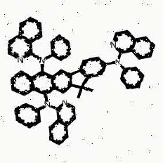 CC1(C)c2cc(N(c3ccccc3)c3nccc4ccccc34)ccc2-c2cc3c(N(c4ccccc4)c4nccc5ccccc45)c4ccccc4c(N(c4ccccc4)c4nccc5ccccc45)c3cc21